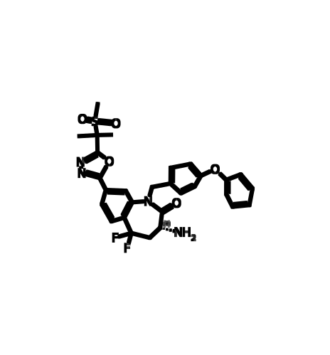 CC(C)(c1nnc(-c2ccc3c(c2)N(Cc2ccc(Oc4ccccc4)cc2)C(=O)[C@H](N)CC3(F)F)o1)S(C)(=O)=O